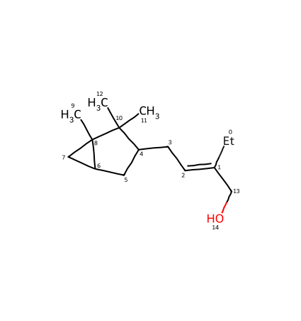 CC/C(=C\CC1CC2CC2(C)C1(C)C)CO